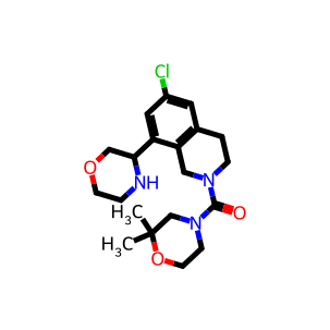 CC1(C)CN(C(=O)N2CCc3cc(Cl)cc(C4COCCN4)c3C2)CCO1